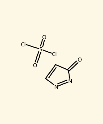 O=C1C=CN=N1.O=S(=O)(Cl)Cl